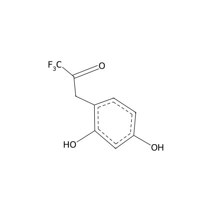 O=C(Cc1ccc(O)cc1O)C(F)(F)F